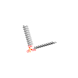 O=[PH](O)O.[Zn+2].[Zn+2].[Zn+2].[Zn+2].[Zn+2].[Zn+2].[Zn+2].[Zn+2].[Zn+2].[Zn+2].[Zn+2].[Zn+2].[Zn+2].[Zn+2].[Zn+2].[Zn+2].[Zn+2].[Zn+2].[Zn+2].[Zn+2]